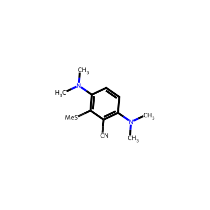 CSc1c(N(C)C)ccc(N(C)C)c1C#N